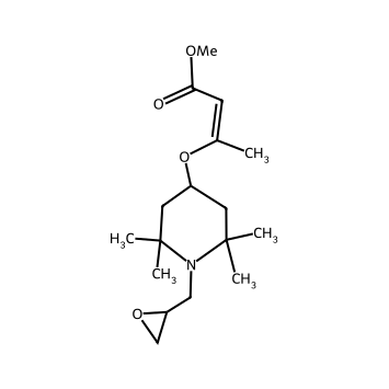 COC(=O)/C=C(/C)OC1CC(C)(C)N(CC2CO2)C(C)(C)C1